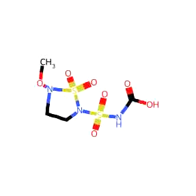 CON1CCN(S(=O)(=O)NC(=O)O)S1(=O)=O